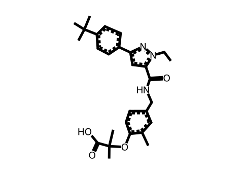 CCn1nc(-c2ccc(C(C)(C)C)cc2)cc1C(=O)NCc1ccc(OC(C)(C)C(=O)O)c(C)c1